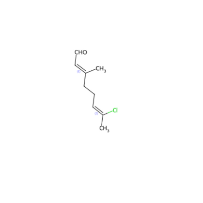 C/C(Cl)=C/CC/C(C)=C/C=O